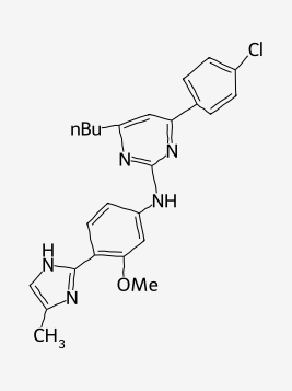 CCCCc1cc(-c2ccc(Cl)cc2)nc(Nc2ccc(-c3nc(C)c[nH]3)c(OC)c2)n1